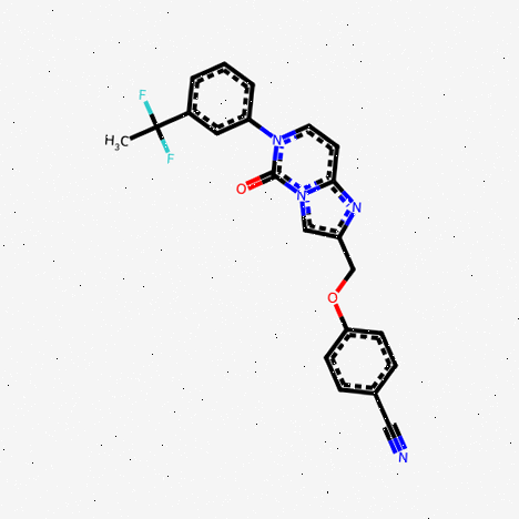 CC(F)(F)c1cccc(-n2ccc3nc(COc4ccc(C#N)cc4)cn3c2=O)c1